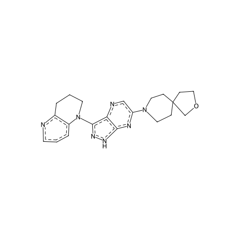 c1cnc2c(c1)N(c1n[nH]c3nc(N4CCC5(CCOC5)CC4)cnc13)CCC2